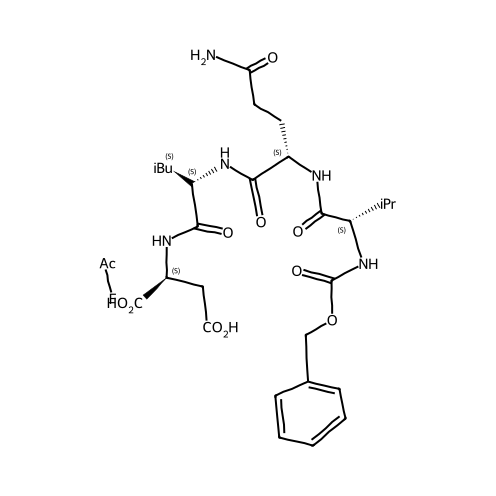 CC(=O)F.CC[C@H](C)[C@H](NC(=O)[C@H](CCC(N)=O)NC(=O)[C@@H](NC(=O)OCc1ccccc1)C(C)C)C(=O)N[C@@H](CC(=O)O)C(=O)O